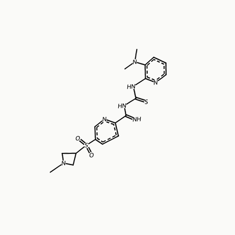 CN1CC(S(=O)(=O)c2ccc(C(=N)NC(=S)Nc3ncccc3N(C)C)nc2)C1